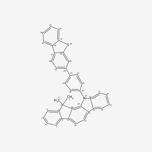 CC1(C)c2ccccc2-c2ccc3c4ccccc4n(-c4ccc(-c5ccc6c(c5)sc5ccccc56)cc4)c3c21